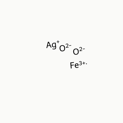 [Ag+].[Fe+3].[O-2].[O-2]